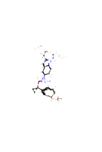 CC1(C)c2cc3cc(NC(=O)C4(c5ccc6c(c5)OC(F)(F)O6)CC4)ccc3n2C[C@H](CO)OC1O